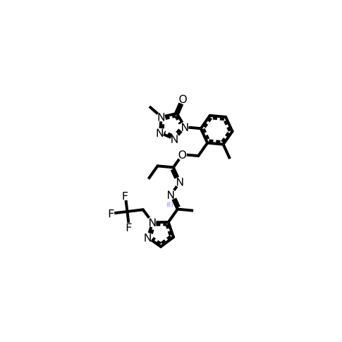 CCC(=N/N=C(\C)c1ccnn1CC(F)(F)F)OCc1c(C)cccc1-n1nnn(C)c1=O